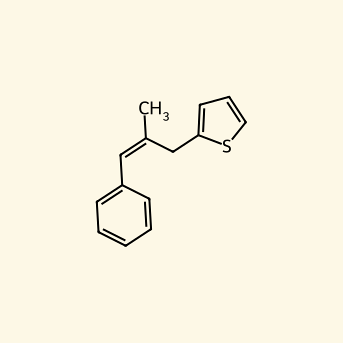 CC(=Cc1ccccc1)Cc1cccs1